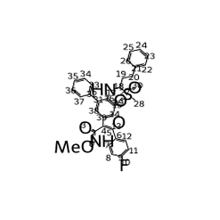 CONC(=O)c1c(-c2ccc(F)cc2)oc2cc(NC(CCc3ccccc3)S(C)(=O)=O)c(-c3ccccc3)cc12